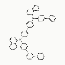 c1ccc(-c2ccc(N(c3ccc(-c4ccc(N(c5ccc(-c6cccc(-c7ccccc7)c6)cc5)c5cccc6ccccc56)cc4)cc3)c3cccc4ccccc34)cc2)cc1